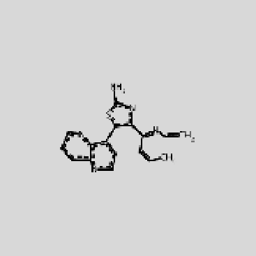 C=C/N=C(\C=C/C)c1nc(N)sc1-c1ccnc2cccnc12